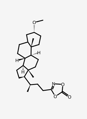 CO[C@@H]1CC[C@@]2(C)C(CC[C@H]3[C@@H]4CC[C@H]([C@H](C)CCc5noc(=O)o5)[C@@]4(C)CC[C@@H]32)C1